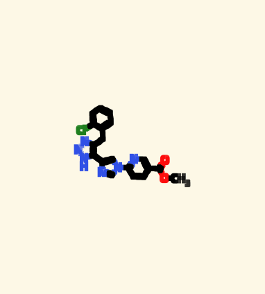 COC(=O)c1ccc(-n2cnc(-c3[nH]nnc3Cc3ccccc3Cl)c2)nc1